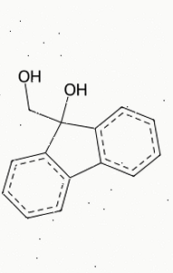 OCC1(O)c2ccccc2-c2ccccc21